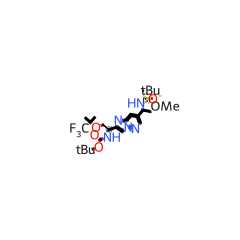 COCC(N[S@+]([O-])C(C)(C)C)c1cnn2cc([C@H](COC(C)(C)C(F)(F)F)NC(=O)OC(C)(C)C)nc2c1